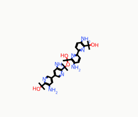 CC(C)(O)c1ncc(-c2cnc(C(C)(C)OC(C)(O)c3nc(-c4ccc(N)c(C(C)(C)O)n4)ccc3N)c(N)c2)cc1N